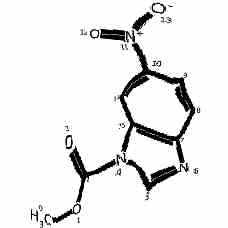 COC(=O)n1cnc2ccc([N+](=O)[O-])cc21